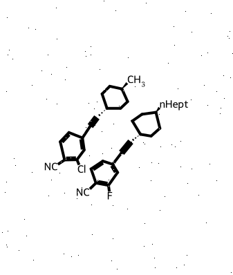 CCCCCCC[C@H]1CC[C@H](C#Cc2ccc(C#N)c(F)c2)CC1.C[C@H]1CC[C@H](C#Cc2ccc(C#N)c(Cl)c2)CC1